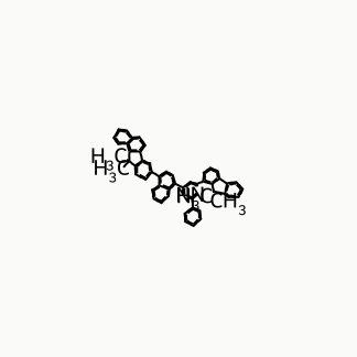 CC1(C)c2ccccc2-c2cccc(-c3cc(-c4ccc(-c5ccc6c(c5)-c5ccc7ccccc7c5C6(C)C)c5ccccc45)nc(-c4ccccc4)n3)c21